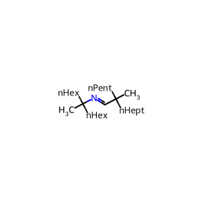 CCCCCCCC(C)(C=NC(C)(CCCCCC)CCCCCC)CCCCC